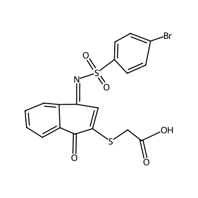 O=C(O)CSC1=C/C(=N\S(=O)(=O)c2ccc(Br)cc2)c2ccccc2C1=O